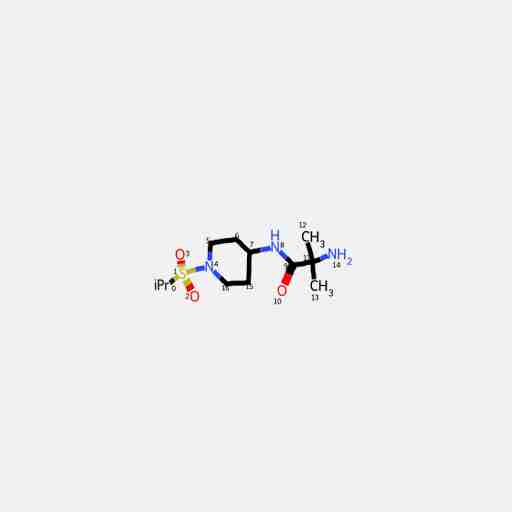 CC(C)S(=O)(=O)N1CCC(NC(=O)C(C)(C)N)CC1